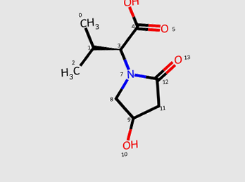 CC(C)[C@@H](C(=O)O)N1CC(O)CC1=O